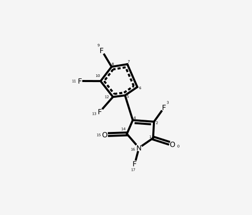 O=C1C(F)=C(c2ccc(F)c(F)c2F)C(=O)N1F